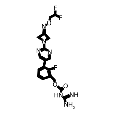 N=C(N)NC(=O)OCc1cccc(-c2cnc(N3CC(=NOCC(F)F)C3)nc2)c1F